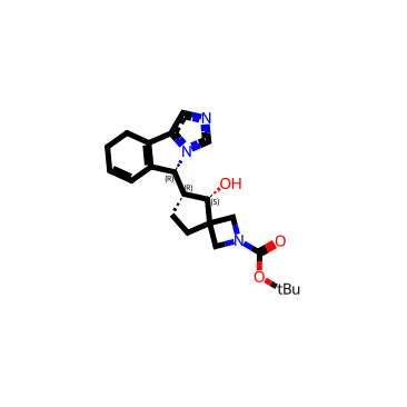 CC(C)(C)OC(=O)N1CC2(CC[C@H]([C@@H]3C4=C(CCC=C4)c4cncn43)[C@@H]2O)C1